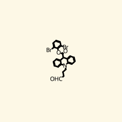 O=CCCCN1c2ccccc2C(C(=O)Oc2c(Br)cccc2Br)c2ccccc21